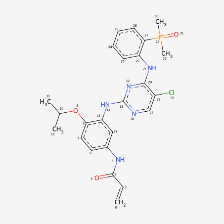 C=CC(=O)Nc1ccc(OC(C)C)c(Nc2ncc(Cl)c(Nc3ccccc3P(C)(C)=O)n2)c1